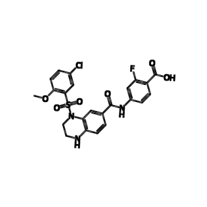 COc1ccc(Cl)cc1S(=O)(=O)N1CCNc2ccc(C(=O)Nc3ccc(C(=O)O)c(F)c3)cc21